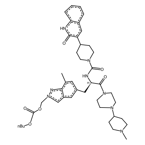 CCCCOC(=O)OCn1cc2cc(C[C@@H](NC(=O)N3CCC(c4cc5ccccc5[nH]c4=O)CC3)C(=O)N3CCN(C4CCN(C)CC4)CC3)cc(C)c2n1